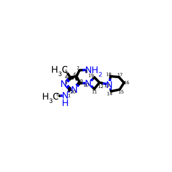 CNc1nc(C)c(CN)c(N2CC(N3CCCCC3)C2)n1